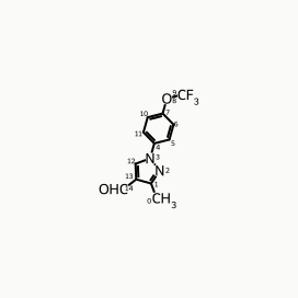 Cc1nn(-c2ccc(OC(F)(F)F)cc2)cc1C=O